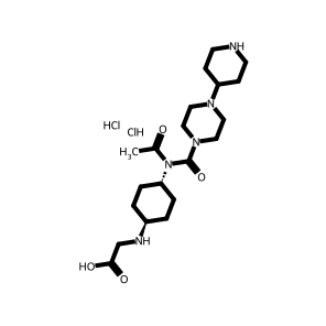 CC(=O)N(C(=O)N1CCN(C2CCNCC2)CC1)[C@H]1CC[C@H](NCC(=O)O)CC1.Cl.Cl